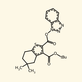 CC1(C)CCc2sc(C(=O)On3nnc4ccccc43)c(C(=O)OC(C)(C)C)c2C1